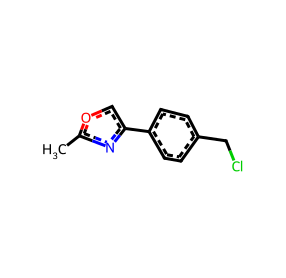 Cc1nc(-c2ccc(CCl)cc2)co1